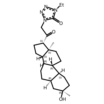 CCn1nnn(CC(=O)[C@H]2CC[C@H]3[C@@H]4CC[C@@H]5C[C@](C)(O)CC[C@@H]5[C@H]4CC[C@]23C)c1=O